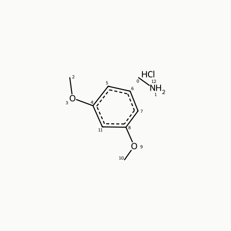 CN.COc1cccc(OC)c1.Cl